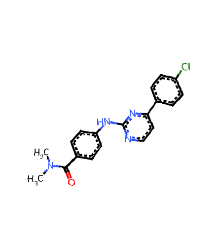 CN(C)C(=O)c1ccc(Nc2nccc(-c3ccc(Cl)cc3)n2)cc1